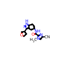 Cn1cc(C#N)nc1C(=O)Nc1ccc2[nH]nc(-c3ccoc3)c2c1